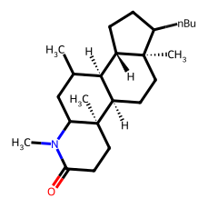 CCCCC1CC[C@H]2[C@@H]3C(C)CC4N(C)C(=O)CC[C@]4(C)[C@@H]3CC[C@]12C